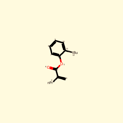 C=C(CCC)C(=O)Oc1ccccc1C(C)(C)C